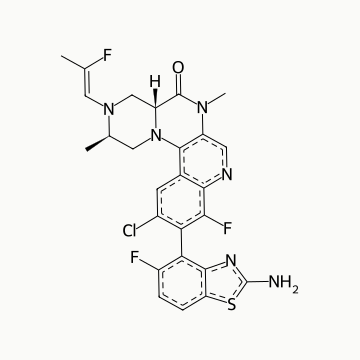 CC(F)=CN1C[C@@H]2C(=O)N(C)c3cnc4c(F)c(-c5c(F)ccc6sc(N)nc56)c(Cl)cc4c3N2C[C@H]1C